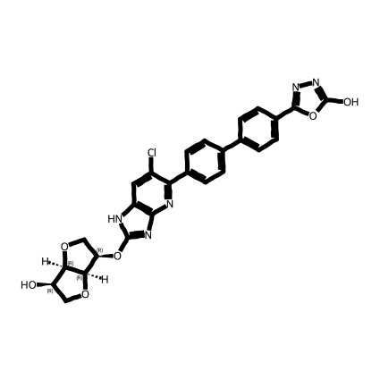 Oc1nnc(-c2ccc(-c3ccc(-c4nc5nc(O[C@@H]6CO[C@H]7[C@@H]6OC[C@H]7O)[nH]c5cc4Cl)cc3)cc2)o1